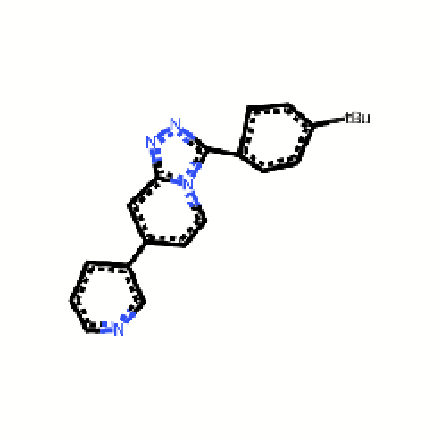 CC(C)(C)c1ccc(-c2nnc3cc(-c4cccnc4)ccn23)cc1